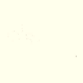 NCCOCCOCCOCCn1cc(C(=O)N2CC[S+]([O-])CC2)nn1